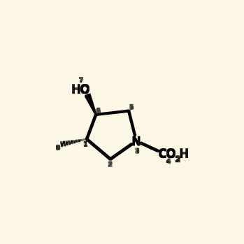 C[C@H]1CN(C(=O)O)C[C@@H]1O